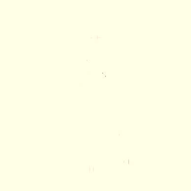 CC(C)COc1ccc(N(C(=O)OCc2ccccc2)c2ccccc2CO)cc1